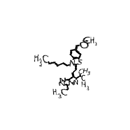 CCCCCCN1/C(=C\C=c2/c(C(C)C)nn3c(CC)nnc23)Sc2cc(COC)ccc21